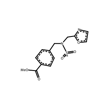 COC(=O)c1ccc(CN(Cc2ncco2)[SH](=O)=O)cc1